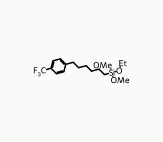 CCO[Si](CCCCCCc1ccc(C(F)(F)F)cc1)(OC)OC